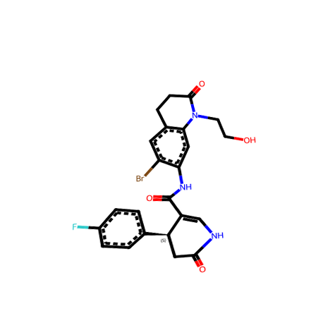 O=C1C[C@@H](c2ccc(F)cc2)C(C(=O)Nc2cc3c(cc2Br)CCC(=O)N3CCO)=CN1